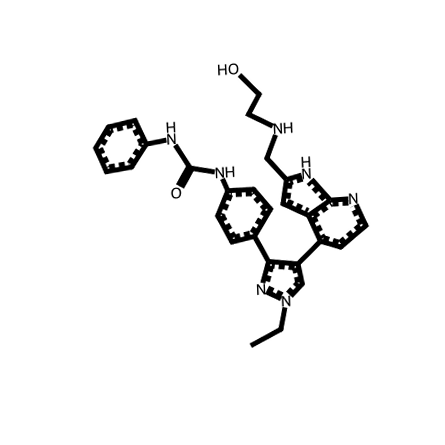 CCn1cc(-c2ccnc3[nH]c(CNCCO)cc23)c(-c2ccc(NC(=O)Nc3ccccc3)cc2)n1